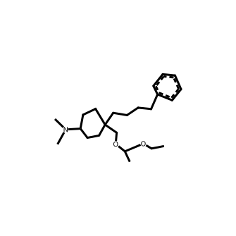 CCOC(C)OCC1(CCCCc2ccccc2)CCC(N(C)C)CC1